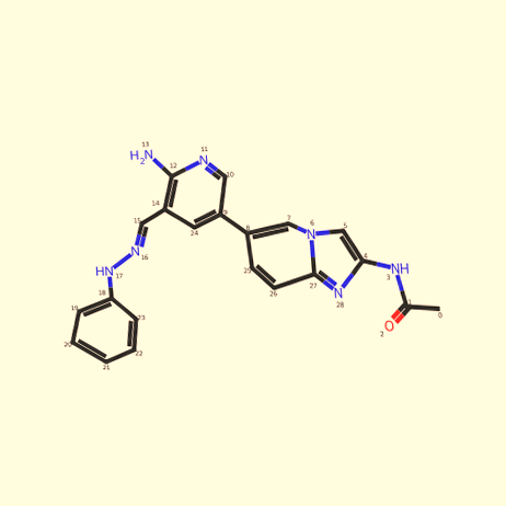 CC(=O)Nc1cn2cc(-c3cnc(N)c(C=NNc4ccccc4)c3)ccc2n1